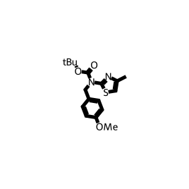 COc1ccc(CN(C(=O)OC(C)(C)C)c2nc(C)cs2)cc1